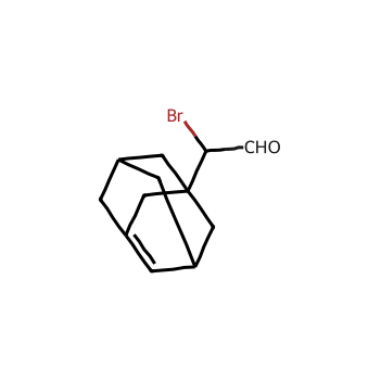 O=CC(Br)C12CC3=CC(CC(C3)C1)C2